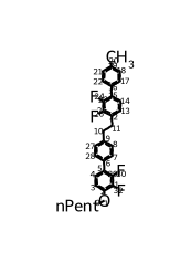 CCCCCOc1ccc(-c2ccc(CCc3ccc(-c4ccc(C)cc4)c(F)c3F)cc2)c(F)c1F